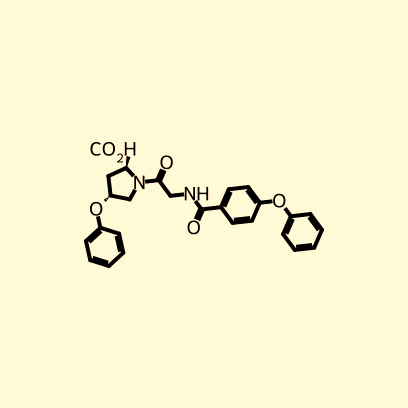 O=C(NCC(=O)N1C[C@H](Oc2ccccc2)C[C@H]1C(=O)O)c1ccc(Oc2ccccc2)cc1